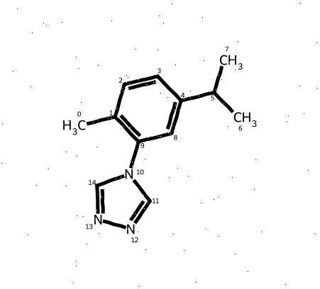 Cc1ccc(C(C)C)cc1-n1cnnc1